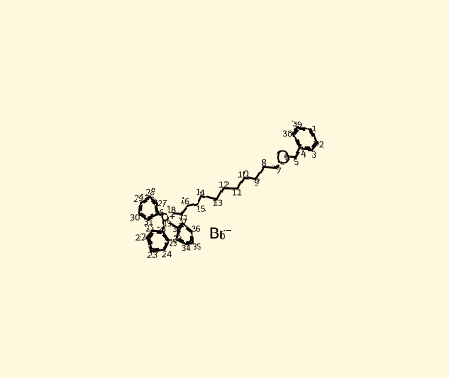 [Br-].c1ccc(COCCCCCCCCCCCC[P+](c2ccccc2)(c2ccccc2)c2ccccc2)cc1